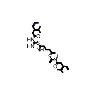 C=CC(CC(=O)N(I)C(=C)SC(=C)CCCC(=N)SC(=N)NC(=O)CC(/C=C\C)=C(C)C)=C(C)C